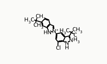 CC(C)(C)c1ccc2c[n+](-c3cc(Cl)c4[nH]nc(C(C)(C)C)c4c3)[nH]c2c1